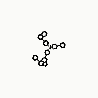 C1=Cc2cc(-c3ccc(N(c4ccc(-c5ccccc5)cc4)c4ccc(-c5cccc6ccccc56)cc4)cc3)cc3c(-c4ccccc4)ccc1c23